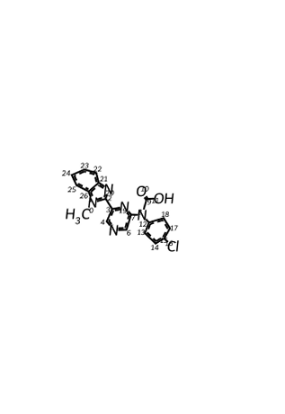 Cn1c(-c2cncc(N(C(=O)O)c3ccc(Cl)cc3)n2)nc2ccccc21